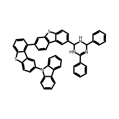 c1ccc(C2=NC(c3ccccc3)NC(c3ccc4sc5cc(-c6cccc7sc8ccc(-n9c%10ccccc%10c%10ccccc%109)cc8c67)ccc5c4c3)N2)cc1